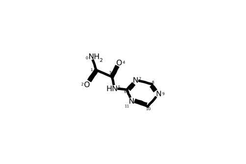 NC(=O)C(=O)Nc1ncncn1